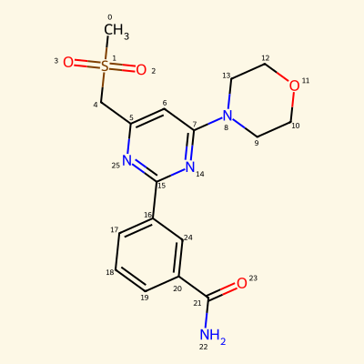 CS(=O)(=O)Cc1cc(N2CCOCC2)nc(-c2cccc(C(N)=O)c2)n1